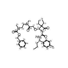 CCC[C@@H](NC(=O)N1C(=O)C(CC)(CC)[C@@H]1OCC(=O)N(C)CCN(C)C(=O)OCc1ccccc1)c1ccc(C)cc1